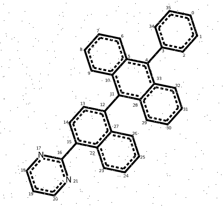 c1ccc(-c2c3ccccc3c(-c3ccc(-c4ncccn4)c4ccccc34)c3ccccc23)cc1